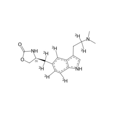 [2H]c1c(C([2H])([2H])[C@H]2COC(=O)N2)c([2H])c2c(CC([2H])([2H])N(C)C)c[nH]c2c1[2H]